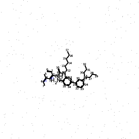 C=C/C(=C\C(C)=C/C)NC(=C)N(CCCCCC)c1nc(-c2cccc(N(CCC)CCC)c2)ccc1N